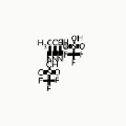 CC#N.CC#N.CC#N.O=S(=O)(O)C(F)(F)F.O=S(=O)(O)C(F)(F)F